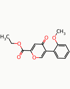 CCOC(=O)c1cc(=O)c(-c2ccccc2OC)co1